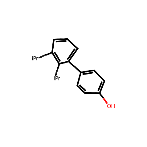 CC(C)c1cccc(-c2ccc(O)cc2)c1C(C)C